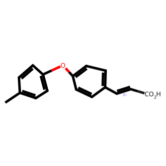 Cc1ccc(Oc2ccc(/C=C/C(=O)O)cc2)cc1